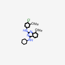 COc1cc(Nc2nc(NC3CCCCC3)c3cccc(OC)c3n2)ccc1Cl